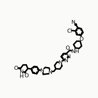 N#Cc1ccc(O[C@H]2CC[C@H](NC(=O)c3ccc(N4CCC(CN5CCN(c6ccc(C7CCC(=O)NC7=O)cc6)CC5)CC4)nn3)CC2)cc1Cl